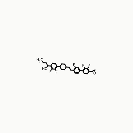 CCCC(O)c1ccc(C2CCC(CCc3ccc(-c4ccc(C5CO5)c(F)c4F)cc3F)CC2)c(F)c1F